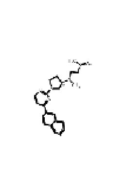 CC(=O)N(C)CCN(C)[C@@H]1CCN(c2nccc(-c3ccc4ccccc4c3)n2)C1